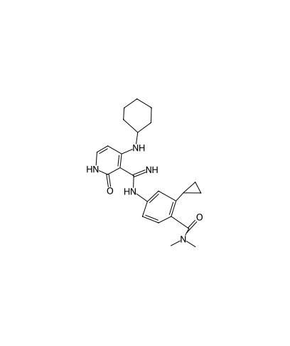 CN(C)C(=O)c1ccc(NC(=N)c2c(NC3CCCCC3)cc[nH]c2=O)cc1C1CC1